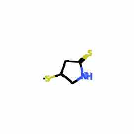 [S]C1CNC(=S)C1